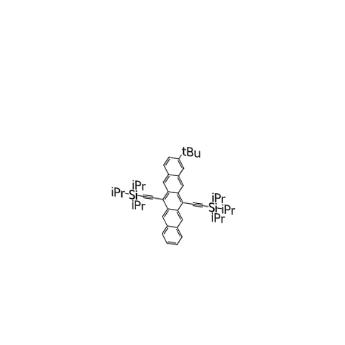 CC(C)[Si](C#Cc1c2cc3ccccc3cc2c(C#C[Si](C(C)C)(C(C)C)C(C)C)c2cc3cc(C(C)(C)C)ccc3cc12)(C(C)C)C(C)C